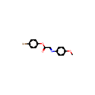 COc1ccc(N=CC(=O)Oc2ccc(Br)cc2)cc1